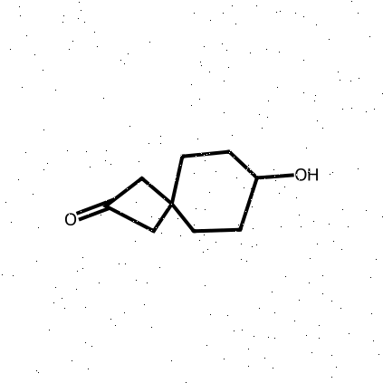 O=C1CC2(CCC(O)CC2)C1